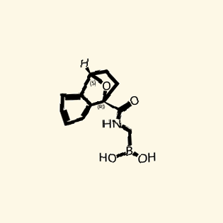 O=C(NCB(O)O)[C@]12CC[C@H](O1)c1ccccc12